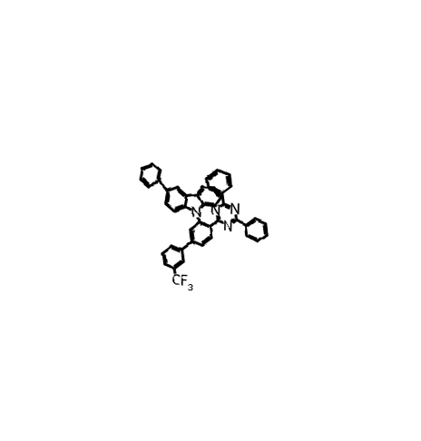 FC(F)(F)c1cccc(-c2ccc(-c3nc(-c4ccccc4)nc(-c4ccccc4)n3)c(-n3c4ccccc4c4cc(-c5ccccc5)ccc43)c2)c1